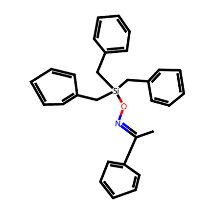 CC(=NO[Si](Cc1ccccc1)(Cc1ccccc1)Cc1ccccc1)c1ccccc1